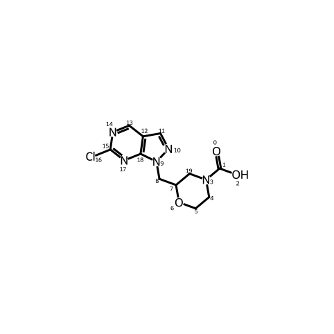 O=C(O)N1CCOC(Cn2ncc3cnc(Cl)nc32)C1